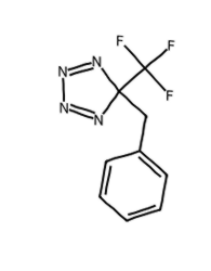 FC(F)(F)C1(Cc2ccccc2)N=NN=N1